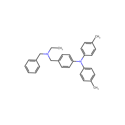 CCN(Cc1ccccc1)Cc1ccc(N(c2ccc(C)cc2)c2ccc(C)cc2)cc1